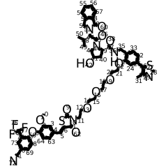 COc1cc(/C=C2\SC(=O)N(CCOCCOCCOCCOc3cc(-c4scnc4C)ccc3CNC(=O)[C@@H]3C[C@@H](O)CN3C(=O)[C@H](C(C)C)N3Cc4ccccc4C3=O)C2=O)ccc1Oc1ccc(C#N)cc1C(F)(F)F